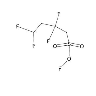 O=S(=O)(CC(F)(F)CC(F)F)OF